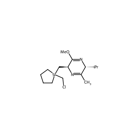 COC1=N[C@H](C(C)C)C(C)=N[C@H]1C[Si]1(CCl)CCCC1